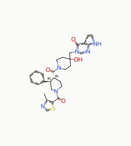 Cc1ncsc1C(=O)N1CC[C@@H](C(=O)N2CCC(O)(Cn3cnc4[nH]ccc4c3=O)CC2)[C@H](c2ccccc2)C1